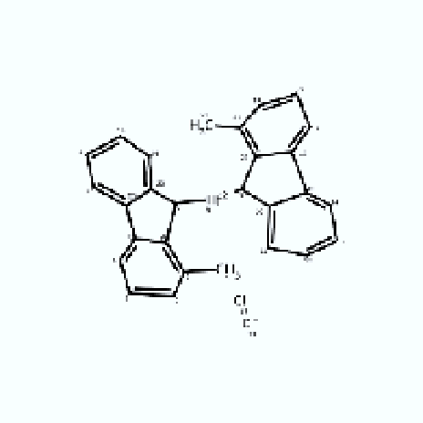 Cc1cccc2c1[CH]([Hf+2][CH]1c3ccccc3-c3cccc(C)c31)c1ccccc1-2.[Cl-].[Cl-]